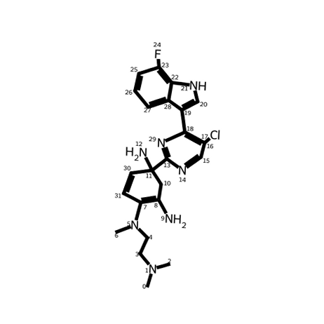 CN(C)CCN(C)C1=C(N)CC(N)(c2ncc(Cl)c(-c3c[nH]c4c(F)cccc34)n2)C=C1